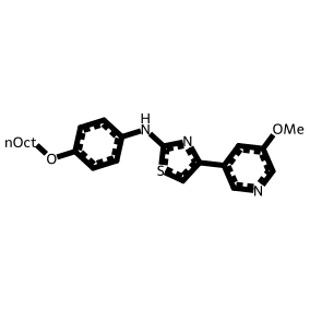 CCCCCCCCOc1ccc(Nc2nc(-c3cncc(OC)c3)cs2)cc1